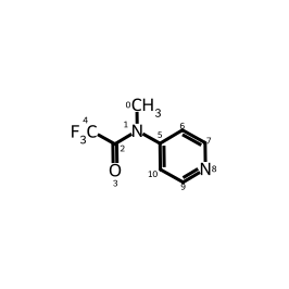 CN(C(=O)C(F)(F)F)c1ccncc1